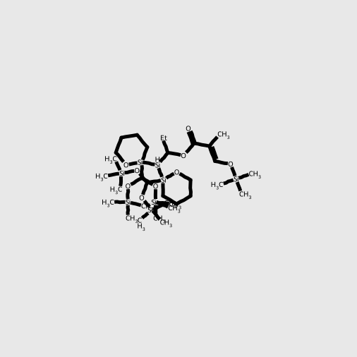 CCC(OC(=O)C(C)=CO[Si](C)(C)C)[SiH]([Si]1(C(O[Si](C)(C)C)O[Si](C)(C)C)CCCCO1)[Si]1(C(O[Si](C)(C)C)O[Si](C)(C)C)CCCCO1